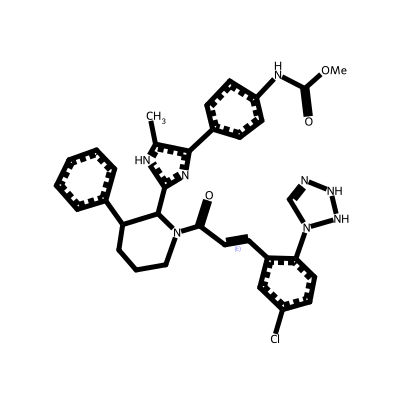 COC(=O)Nc1ccc(-c2nc(C3C(c4ccccc4)CCCN3C(=O)/C=C/c3cc(Cl)ccc3N3C=NNN3)[nH]c2C)cc1